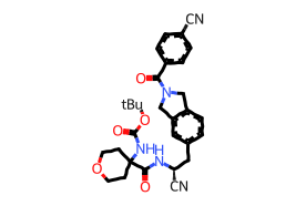 CC(C)(C)OC(=O)NC1(C(=O)N[C@H](C#N)Cc2ccc3c(c2)CN(C(=O)c2ccc(C#N)cc2)C3)CCOCC1